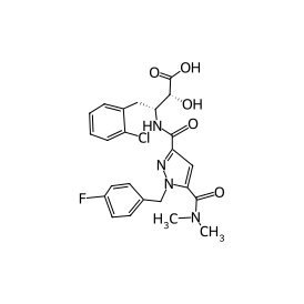 CN(C)C(=O)c1cc(C(=O)N[C@H](Cc2ccccc2Cl)[C@@H](O)C(=O)O)nn1Cc1ccc(F)cc1